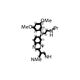 CN/C=C(\C=N)c1cnc2ccc(N(CCNC(C)C)c3cc(OC)cc(OC)c3)cc2n1